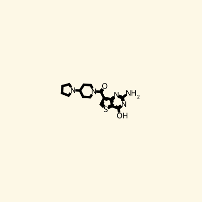 Nc1nc(O)c2scc(C(=O)N3CCC(N4CCCC4)CC3)c2n1